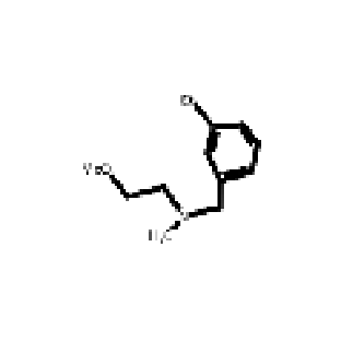 CCc1cccc(CN(C)CCOC)c1